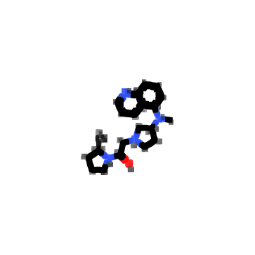 CN(c1cccc2ncccc12)[C@H]1CCN(CC(=O)N2CCC[C@H]2C#N)C1